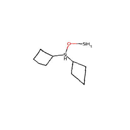 [SiH3]O[SiH](C1CCC1)C1CCC1